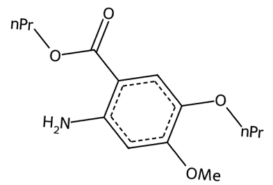 CCCOC(=O)c1cc(OCCC)c(OC)cc1N